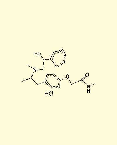 CNC(=O)COc1ccc(CC(C)N(C)CC(O)c2ccccc2)cc1.Cl